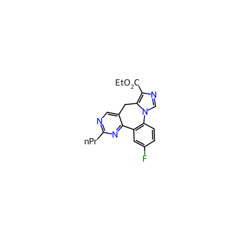 CCCc1ncc2c(n1)-c1cc(F)ccc1-n1cnc(C(=O)OCC)c1C2